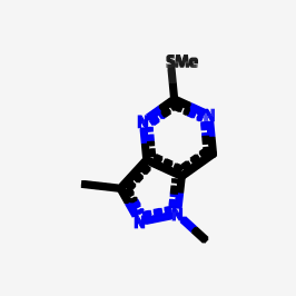 CSc1ncc2c(n1)c(C)nn2C